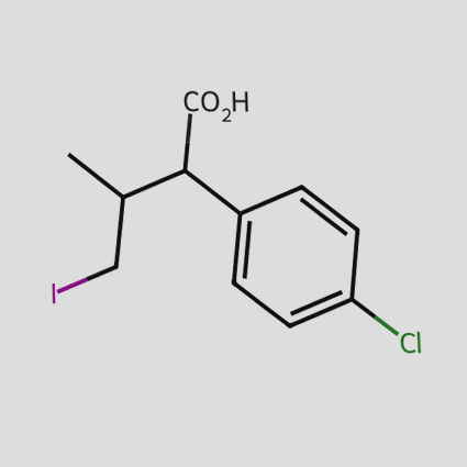 CC(CI)C(C(=O)O)c1ccc(Cl)cc1